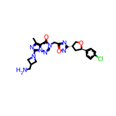 Cc1nc(N2CC(CN)C2)n2ncn(Cc3nc([C@@H]4CO[C@@H](c5ccc(Cl)cc5)C4)no3)c(=O)c12